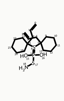 C=CCC1(S(C2(CC=C)CCCCC2)=P(O)(O)SN)CCCCC1